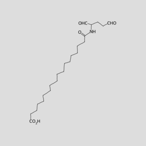 O=CCCC(C=O)NC(=O)CCCCCCCCCCCCCCCCC(=O)O